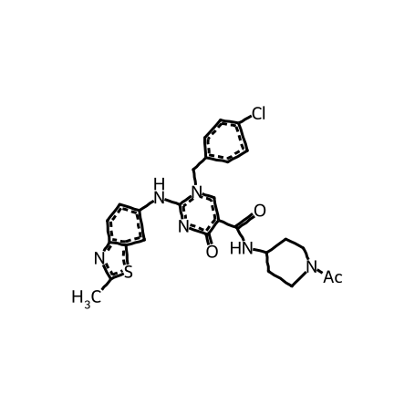 CC(=O)N1CCC(NC(=O)c2cn(Cc3ccc(Cl)cc3)c(Nc3ccc4nc(C)sc4c3)nc2=O)CC1